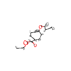 CCOC(=O)C1CCC(OC(C)CC)CC1